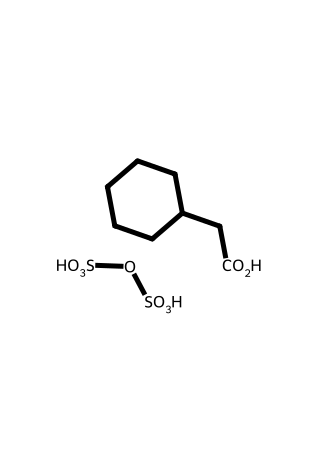 O=C(O)CC1CCCCC1.O=S(=O)(O)OS(=O)(=O)O